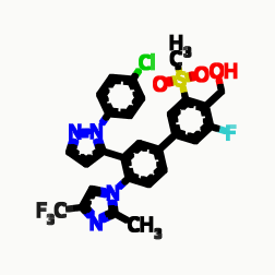 Cc1nc(C(F)(F)F)cn1-c1ccc(-c2cc(F)c(CO)c(S(C)(=O)=O)c2)cc1-c1ccnn1-c1ccc(Cl)cc1